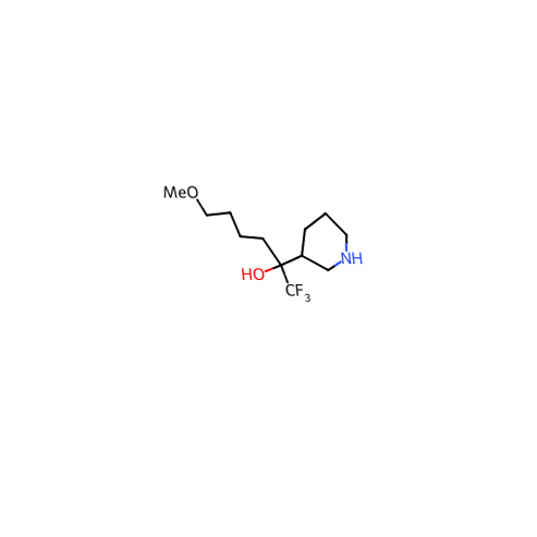 COCCCCC(O)(C1CCCNC1)C(F)(F)F